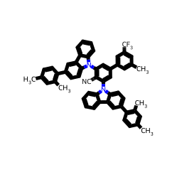 Cc1cc(-c2cc(-n3c4ccccc4c4cc(-c5ccc(C)cc5C)ccc43)c(C#N)c(-n3c4ccccc4c4cc(-c5ccc(C)cc5C)ccc43)c2)cc(C(F)(F)F)c1